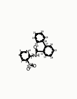 O=C(Nc1ncccc1[N+](=O)[O-])c1ccccc1-c1ccccc1